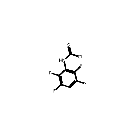 Fc1cc(F)c(F)c(NC(=S)Cl)c1F